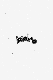 O=C(Nc1ccc(S(=O)(=O)c2cc(F)cc(F)c2)cn1)[C@H]1C[C@@H]1c1cccnc1